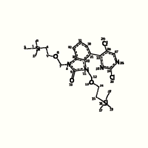 C[Si](C)(C)CCOCn1c(=O)n(COCC[Si](C)(C)C)c2c(-c3nc(Cl)ncc3Cl)cccc21